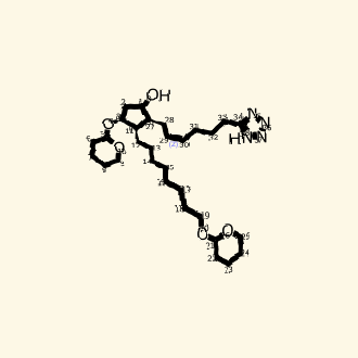 OC1C[C@H](OC2CCCCO2)[C@H](CCCCCCCCOC2CCCCO2)[C@@H]1C/C=C\CCCc1nnn[nH]1